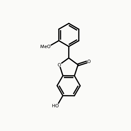 COc1ccccc1C1Oc2cc(O)ccc2C1=O